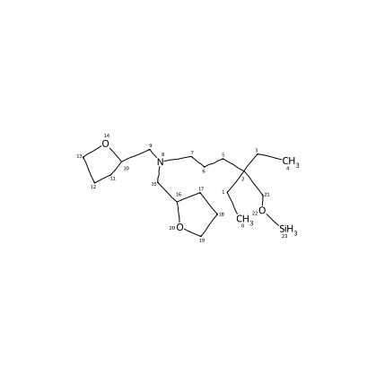 CCC(CC)(CCCN(CC1CCCO1)CC1CCCO1)CO[SiH3]